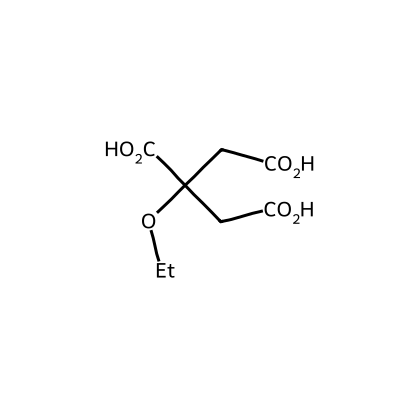 CCOC(CC(=O)O)(CC(=O)O)C(=O)O